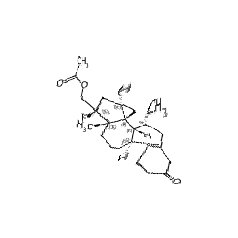 CC(=O)OC[C@]1(F)C[C@H]2C[C@]23[C@@H]2[C@H](C)CC4=C(CCC(=O)C4)[C@H]2CC[C@]13C